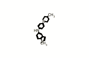 CC1CCN(c2ccc(Nc3ccc4c(ccn4C)c3)cc2)CC1